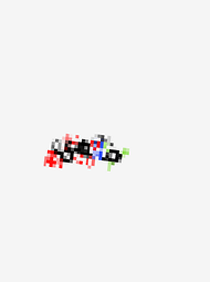 COc1cc(O)c2c(c1C(=O)NCc1c(F)cc(F)cc1F)OC1=CC(O)=C(C(C)=O)C(=O)[C@]12C